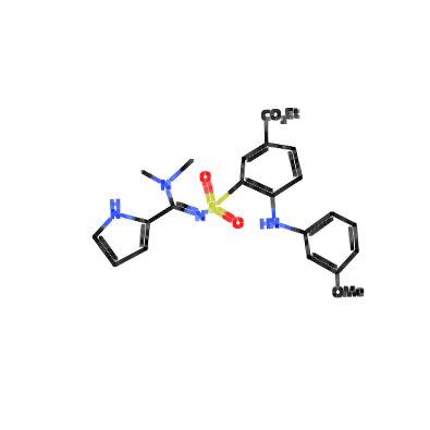 CCOC(=O)c1ccc(Nc2cccc(OC)c2)c(S(=O)(=O)N=C(c2ccc[nH]2)N(C)C)c1